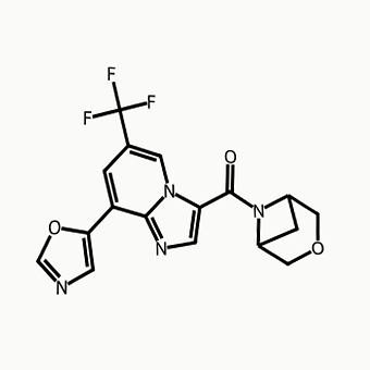 O=C(c1cnc2c(-c3cnco3)cc(C(F)(F)F)cn12)N1C2COCC1C2